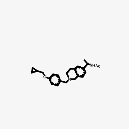 CC(=O)NC(C)c1ccc2c(c1)CCN(Cc1ccc(OCC3CC3)cc1)C2